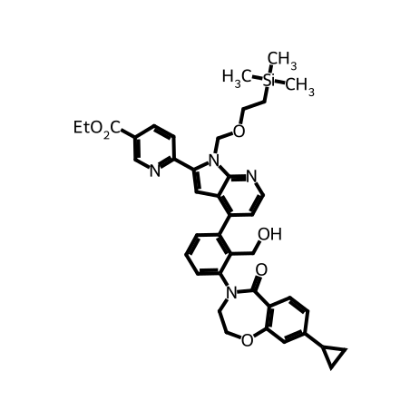 CCOC(=O)c1ccc(-c2cc3c(-c4cccc(N5CCOc6cc(C7CC7)ccc6C5=O)c4CO)ccnc3n2COCC[Si](C)(C)C)nc1